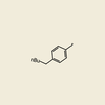 [CH2]CCCCc1ccc(F)cc1